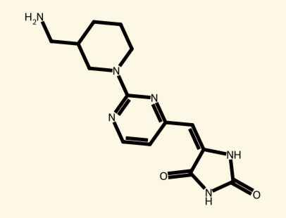 NCC1CCCN(c2nccc(/C=C3/NC(=O)NC3=O)n2)C1